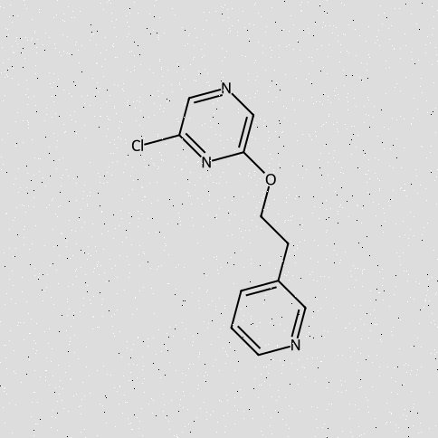 Clc1cncc(OCCc2cccnc2)n1